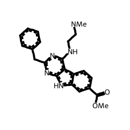 CNCCNc1nc(Cc2ccccc2)nc2[nH]c3cc(C(=O)OC)ccc3c12